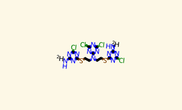 [2H]Nc1nc(Cl)nc(SCCN(CCSc2nc(Cl)nc(N[2H])n2)c2nc(Cl)nc(Cl)n2)n1